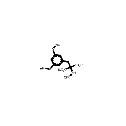 CCCCOc1cc(CC(NC=O)(C(=O)OCC)C(=O)OCC)cc(OCCCC)c1